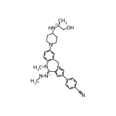 C=N/N=C1/c2cc(-c3ccc(C#N)cc3)cn2Cc2cc(N3CCC(N[C@@H](C)CO)CC3)ccc2N1C